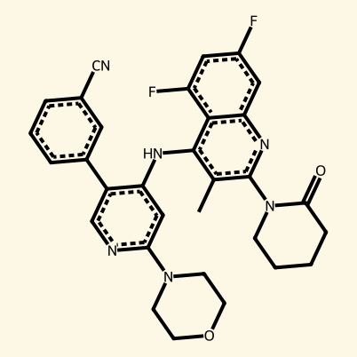 Cc1c(N2CCCCC2=O)nc2cc(F)cc(F)c2c1Nc1cc(N2CCOCC2)ncc1-c1cccc(C#N)c1